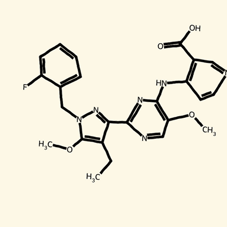 CCc1c(-c2ncc(OC)c(Nc3ccncc3C(=O)O)n2)nn(Cc2ccccc2F)c1OC